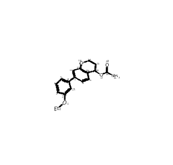 CCOc1cccc(-c2ccc3c(c2)OCCC3OC(N)=O)c1